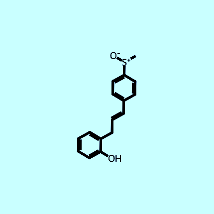 C[S+]([O-])c1ccc(/C=C/Cc2ccccc2O)cc1